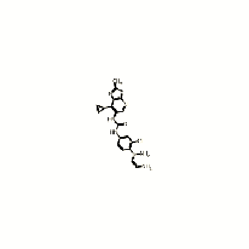 Cc1nc2c(C3CC3)c(NC(=O)Nc3ccc(N(N)/C=C\N)c(Cl)c3)cnc2s1